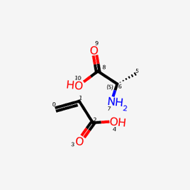 C=CC(=O)O.C[C@H](N)C(=O)O